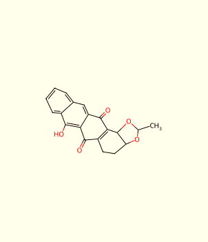 CC1OC2CCC3=C(C(=O)c4cc5ccccc5c(O)c4C3=O)C2O1